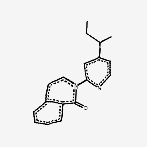 CCC(C)c1ccnc(-n2ccc3ccccc3c2=O)c1